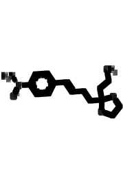 CCCC1(CCC=Cc2ccc([S@@+](N)[O-])cc2)OCCO1